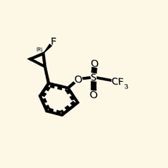 O=S(=O)(Oc1ccccc1C1C[C@H]1F)C(F)(F)F